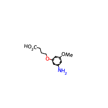 COc1cc(N)cc(OCCCC(=O)O)c1